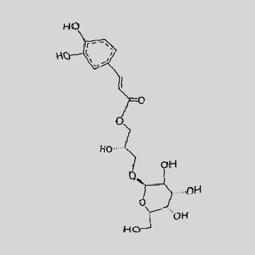 O=C(/C=C/c1ccc(O)c(O)c1)OC[C@@H](O)CO[C@@H]1OC(CO)[C@@H](O)[C@@H](O)C1O